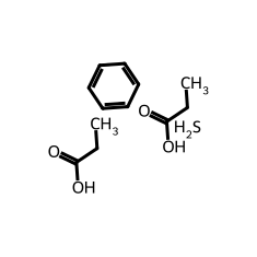 CCC(=O)O.CCC(=O)O.S.c1ccccc1